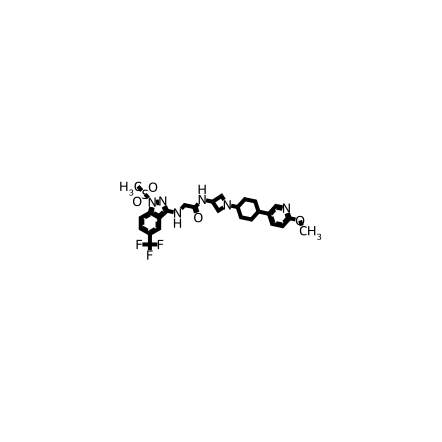 COc1ccc(C2CCC(N3CC(NC(=O)CNc4nn(S(C)(=O)=O)c5ccc(C(F)(F)F)cc45)C3)CC2)cn1